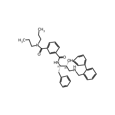 CCCN(CCC)C(=O)c1cccc(C(=O)N[C@@H](Cc2ccccc2)[C@H](O)CNCc2ccccc2-c2ccccc2)c1